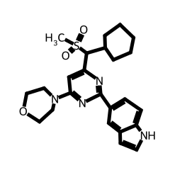 CS(=O)(=O)C(c1cc(N2CCOCC2)nc(-c2ccc3[nH]ccc3c2)n1)C1CCCCC1